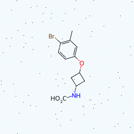 Cc1cc(OC2CC(NC(=O)O)C2)ccc1Br